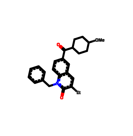 CCc1cc2cc(C(=O)C3CCC(OC)CC3)ccc2n(Cc2ccccc2)c1=O